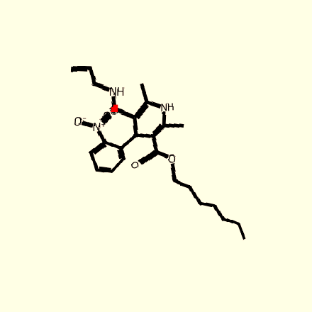 C=CCNC(=O)C1=C(C)NC(C)=C(C(=O)OCCCCCCC)C1c1ccccc1[N+](=O)[O-]